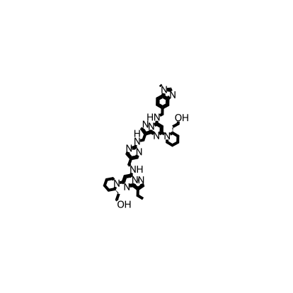 CCc1cnn2c(NCc3cnc(NCc4cnn5c(NCc6ccc7c(c6)ncn7C)cc(N6CCCC[C@H]6CCO)nc45)nc3)cc(N3CCCC[C@H]3CCO)nc12